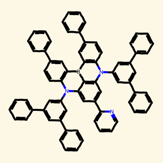 c1ccc(-c2cc(-c3ccccc3)cc(N3c4ccc(-c5ccccc5)cc4B4c5cc(-c6ccccc6)ccc5N(c5cc(-c6ccccc6)cc(-c6ccccc6)c5)c5cc(-c6ccccn6)cc3c54)c2)cc1